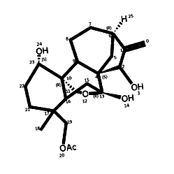 C=C1C(O)[C@]23C[C@H]1CCC2[C@@]12CO[C@]3(O)CC1C(C)(COC(C)=O)CC[C@@H]2O